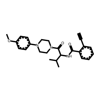 C#Cc1ccccc1C(=O)NC(C(=O)N1CCN(c2ccc(OC)cc2)CC1)C(C)C